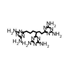 Nc1nc(N)nc(CCCC(CCc2nc(N)nc(N)n2)c2nc(N)nc(N)n2)n1